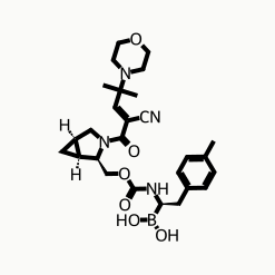 Cc1ccc(C[C@H](NC(=O)OC[C@H]2[C@H]3C[C@H]3CN2C(=O)C(C#N)=CC(C)(C)N2CCOCC2)B(O)O)cc1